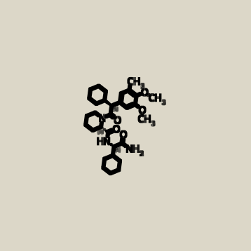 COc1cc([C@@H](C(=O)N2CCCC[C@H]2C(=O)N[C@H](C(N)=O)C2CCCCC2)C2CCCCC2)cc(C)c1OC